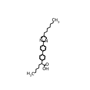 CCCCCCCc1cnc(-c2ccc(-c3ccc(C(CCCCC)C(=O)O)cc3)cc2)nc1